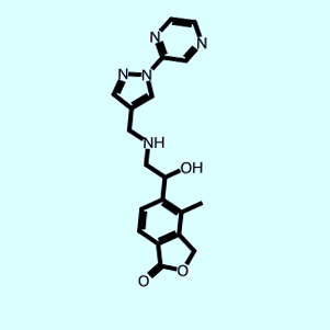 Cc1c(C(O)CNCc2cnn(-c3cnccn3)c2)ccc2c1COC2=O